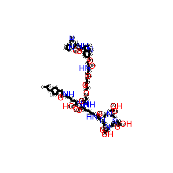 CC(C)Cc1ccc(CC(=O)NCCCCC(NC(=O)C(CCCCNC(=O)CN2CCN(CC(=O)O)CCN(CC(=O)O)CCN(CC(=O)O)CC2)NC(=O)CCOCCOCCOCCNC(=O)COc2ccc3c(C(=O)N[C@H](C)C(=O)N4CCC[C@H]4C#N)ccnc3c2)C(=O)O)cc1